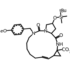 CCOC(=O)C12CC1/C=C/CCCCCN(Cc1ccc(OC)cc1)C(=O)N1CC(O[Si](C)(C)C(C)(C)C)CC1C(=O)N2